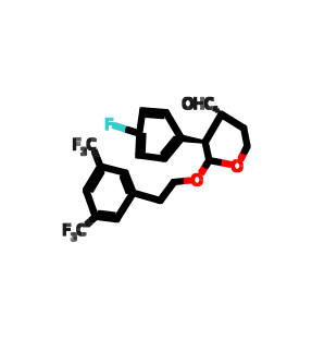 O=C[C@@H]1CCOC(OCCc2cc(C(F)(F)F)cc(C(F)(F)F)c2)[C@H]1c1ccc(F)cc1